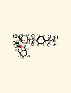 CCN(CC)S(=O)(=O)c1ccc(S(=O)(=O)N2CCC[C@@H](C(=O)N3C4CCC3CN(C(=O)OC(C)(C)C)C4)C2)cc1